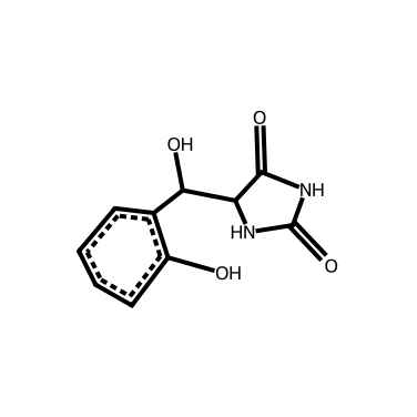 O=C1NC(=O)C(C(O)c2ccccc2O)N1